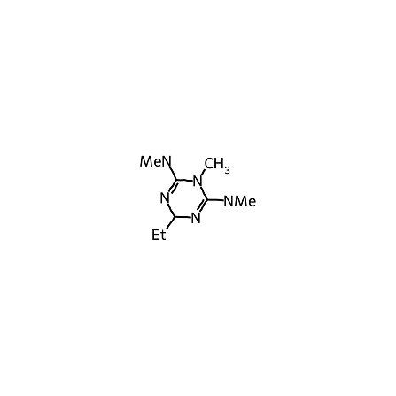 CCC1N=C(NC)N(C)C(NC)=N1